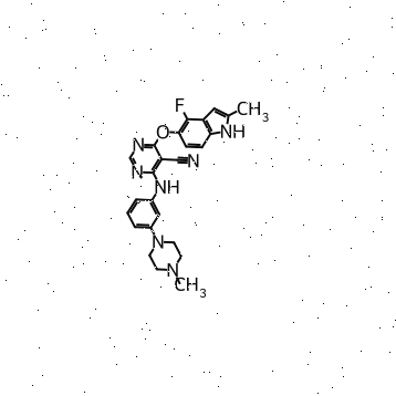 Cc1cc2c(F)c(Oc3ncnc(Nc4cccc(N5CCN(C)CC5)c4)c3C#N)ccc2[nH]1